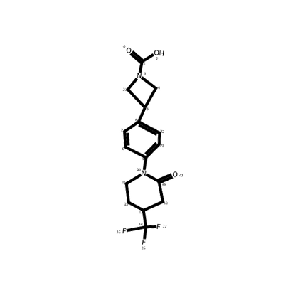 O=C(O)N1CC(c2ccc(N3CCC(C(F)(F)F)CC3=O)cc2)C1